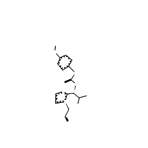 COc1ccc(NC(=O)N[C@H](c2nccn2CC=O)C(C)C)cc1